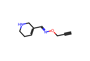 C#CCO/N=C/C1=CCCNC1